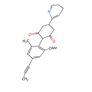 CC#Cc1cc(C)c(C2C(=O)CC(C3=CCCC=N3)CC2=O)c(OC)c1